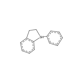 c1ccc([SH]2CCc3ccccc32)cc1